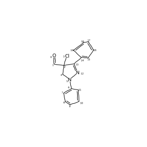 O=CC1(Cl)CN(c2ccccc2)N=C1c1ccccc1